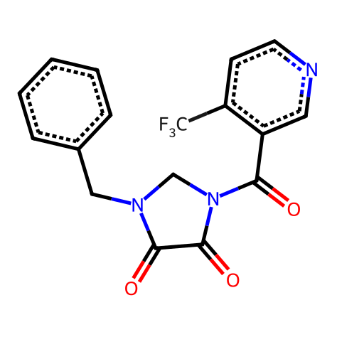 O=C1C(=O)N(C(=O)c2cnccc2C(F)(F)F)CN1Cc1ccccc1